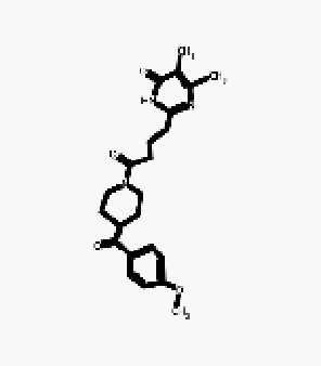 COc1ccc(C(=O)C2CCN(C(=O)CCCc3nc(C)c(C)c(=O)[nH]3)CC2)cc1